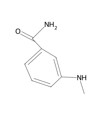 CNc1cccc(C(N)=O)c1